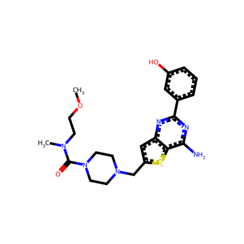 COCCN(C)C(=O)N1CCN(Cc2cc3nc(-c4cccc(O)c4)nc(N)c3s2)CC1